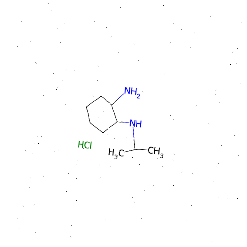 CC(C)NC1CCCCC1N.Cl